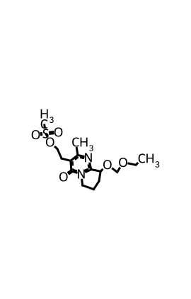 CCOCOC1CCCn2c1nc(C)c(CCOS(C)(=O)=O)c2=O